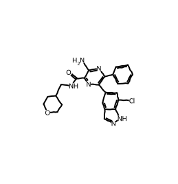 Nc1nc(-c2ccccc2)c(-c2cc(Cl)c3[nH]ncc3c2)nc1C(=O)NCC1CCOCC1